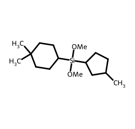 CO[Si](OC)(C1CCC(C)(C)CC1)C1CCC(C)C1